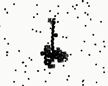 CCCCCCCC(=O)CCCCCC/C=C/[C@H](C(=O)N[C@@H](Cc1ccc(O)cc1)C(=O)OCC)[C@@](O)(CCO)C(=O)OC(C)(C)C